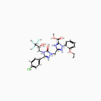 CCOc1ccccc1-n1nc(Cn2nc(-c3ccc(Cl)cc3)n(C[C@H](O)C(F)(F)F)c2=O)nc1C(=O)OC